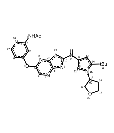 CC(=O)Nc1cc(Oc2cnc3nc(Nc4cc(C(C)(C)C)n([C@H]5CCOC5)n4)sc3n2)ccn1